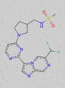 CS(=O)(=O)NCC1CCN(c2ccnc(-c3cnc4cnc(C(F)F)cn34)n2)C1